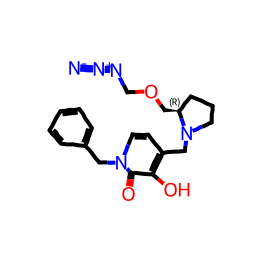 [N-]=[N+]=NCOC[C@H]1CCCN1Cc1ccn(Cc2ccccc2)c(=O)c1O